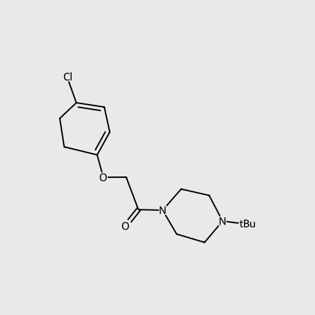 CC(C)(C)N1CCN(C(=O)COC2=CC=C(Cl)CC2)CC1